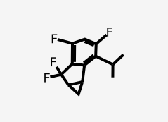 CC(C)c1c(F)cc(F)c2c1C1CC1C2(F)F